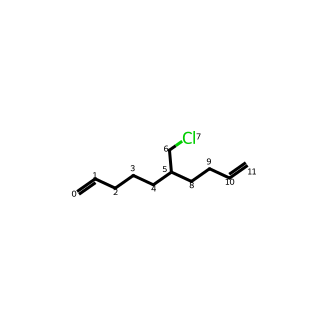 C=CCCCC(CCl)CCC=C